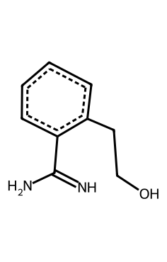 N=C(N)c1ccccc1CCO